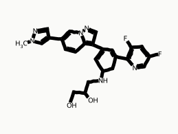 Cn1cc(-c2ccc3c(C4=CC(NCC(O)CO)CC(c5ncc(F)cc5F)=C4)cnn3c2)cn1